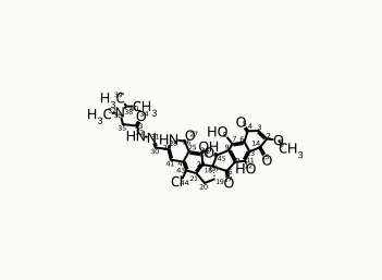 COC1=CC(=O)c2c(O)c3c(c(O)c2C1=O)C(=O)[C@]1(CCc2c1c(O)c1c(=O)[nH]c(C=NNC(=O)CN(C)C(C)C)cc1c2Cl)C3=O